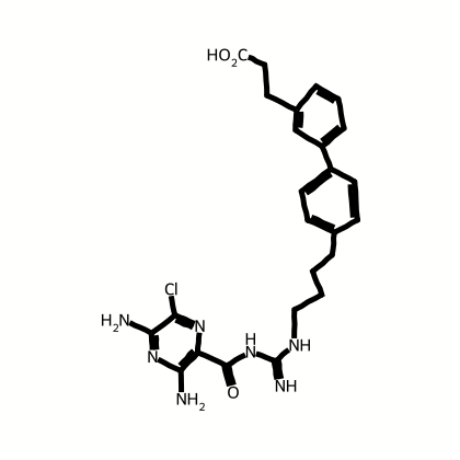 N=C(NCCCCc1ccc(-c2cccc(CCC(=O)O)c2)cc1)NC(=O)c1nc(Cl)c(N)nc1N